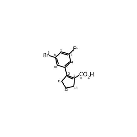 O=C(O)C1=C(c2cc(F)cc(Br)c2)CCC1